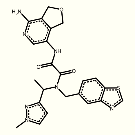 CC(c1ccn(C)n1)N(Cc1ccc2scnc2c1)C(=O)C(=O)Nc1cnc(N)c2c1COC2